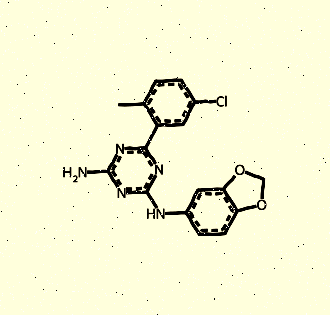 Cc1ccc(Cl)cc1-c1nc(N)nc(Nc2ccc3c(c2)OCO3)n1